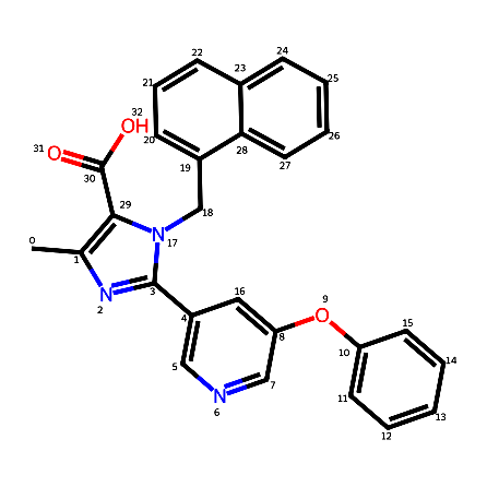 Cc1nc(-c2cncc(Oc3ccccc3)c2)n(Cc2cccc3ccccc23)c1C(=O)O